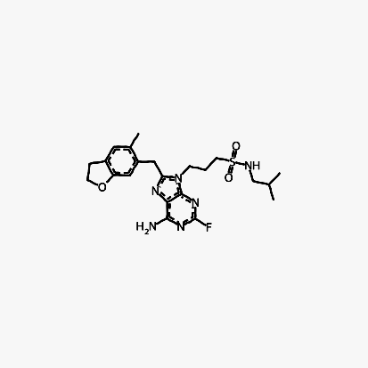 Cc1cc2c(cc1Cc1nc3c(N)nc(F)nc3n1CCCS(=O)(=O)NCC(C)C)OCC2